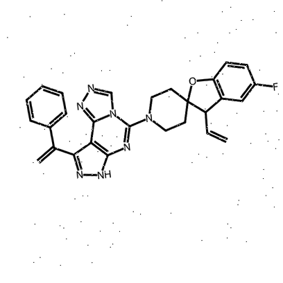 C=CC1c2cc(F)ccc2OC12CCN(c1nc3[nH]nc(C(=C)c4ccccc4)c3c3nncn13)CC2